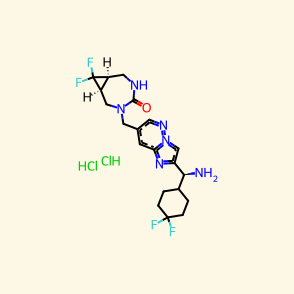 Cl.Cl.N[C@H](c1cn2ncc(CN3C[C@@H]4[C@H](CNC3=O)C4(F)F)cc2n1)C1CCC(F)(F)CC1